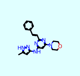 Cc1cc(Nc2cc(N3CCOCC3)nc(/C=C/c3ccccc3)n2)n[nH]1